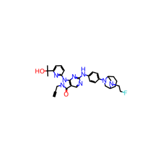 C#CCn1c(=O)c2cnc(Nc3ccc(N4CC5CCCC4CN5CCF)cc3)nc2n1-c1cccc(C(C)(C)O)n1